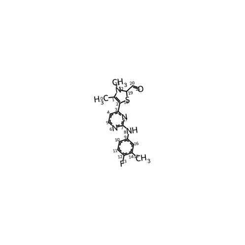 CC1=C(c2ccnc(Nc3ccc(F)c(C)c3)n2)SC(C=O)N1C